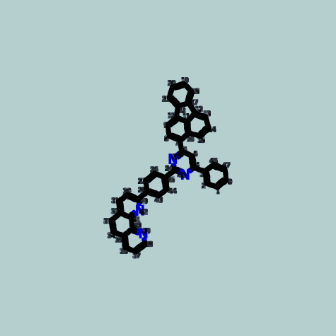 c1ccc(-c2cc(-c3ccc4c5c(cccc35)-c3ccccc3-4)nc(-c3ccc(-c4ccc5ccc6cccnc6c5n4)cc3)n2)cc1